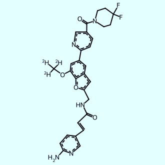 [2H]C([2H])([2H])Oc1cc(-c2ccc(C(=O)N3CCC(F)(F)CC3)cn2)cc2cc(CNC(=O)/C=C/c3ccc(N)nc3)oc12